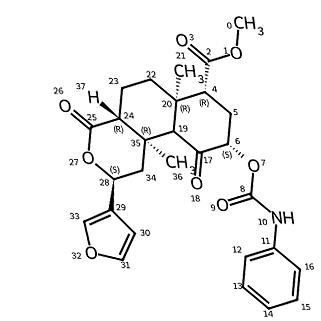 COC(=O)[C@@H]1C[C@H](OC(=O)Nc2ccccc2)C(=O)C2[C@@]1(C)CC[C@H]1C(=O)O[C@H](c3ccoc3)C[C@]21C